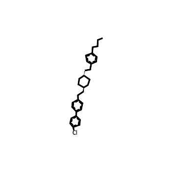 CCCCc1ccc(CC[C@H]2CC[C@H](CCc3ccc(-c4ccc(Cl)cc4)cc3)CC2)cc1